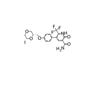 NC(=O)c1cc(-c2ccc(OC[C@H]3COC[C@@H](I)O3)cc2)c(C(F)(F)F)[nH]c1=O